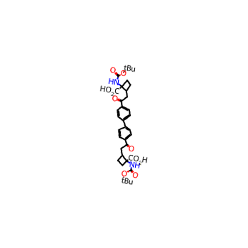 CC(C)(C)OC(=O)NC1(C(=O)O)CCC1CC(=O)c1ccc(-c2ccc(C(=O)CC3CCC3(NC(=O)OC(C)(C)C)C(=O)O)cc2)cc1